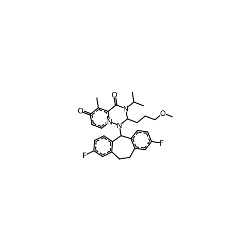 COCCCC1N(C(C)C)C(=O)c2c(C)c(=O)ccn2N1C1c2ccc(F)cc2CCc2cc(F)ccc21